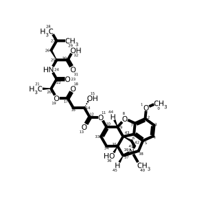 COc1ccc2c3c1O[C@H]1C(OC(=O)[C@@H](O)CC(=O)O[C@@H](C)C(=O)N[C@@H](CC(C)C)C(=O)O)=CC[C@@]4(O)[C@@H](C2)N(C)CC[C@]314